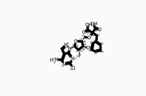 Nc1nc(Cl)nc2c1cnn2[C@@H]1O[C@H](COC(Cc2ccccc2)(C(=O)O)C(=O)O)[C@@H](O)[C@@H]1F